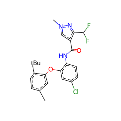 Cc1ccc(C(C)(C)C)c(Oc2cc(Cl)ccc2NC(=O)c2cn(C)nc2C(F)F)c1